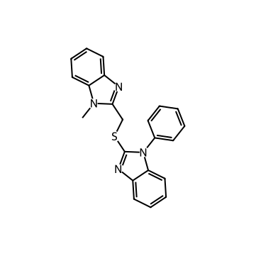 Cn1c(CSc2nc3ccccc3n2-c2ccccc2)nc2ccccc21